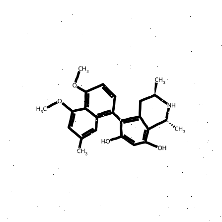 COc1ccc(-c2c(O)cc(O)c3c2C[C@@H](C)N[C@@H]3C)c2cc(C)cc(OC)c12